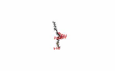 CCCCCCCCCCCCCCCCSCCCO.O=P(O)(O)O